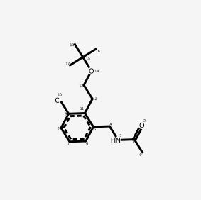 CC(=O)NCc1cccc(Cl)c1CCOC(C)(C)C